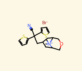 C[N+]1(C)C2COCC1CC(CC(C#N)(c1cccs1)c1cccs1)C2.[Br-]